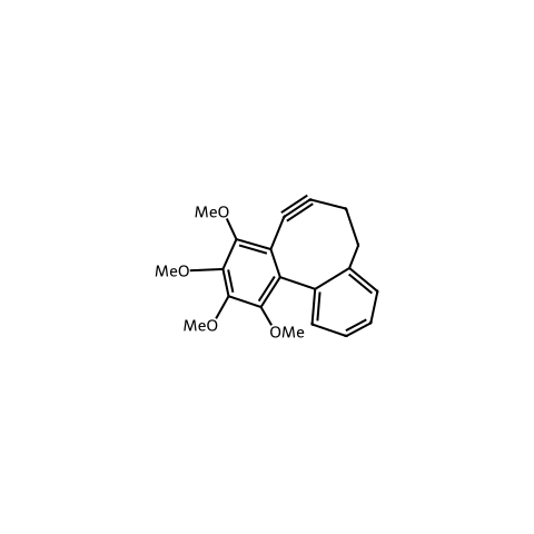 COc1c2c(c(OC)c(OC)c1OC)-c1ccccc1CCC#C2